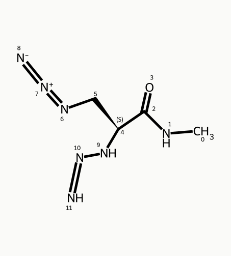 CNC(=O)[C@H](CN=[N+]=[N-])NN=N